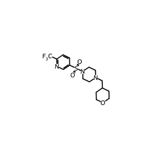 O=S(=O)(c1ccc(C(F)(F)F)nc1)N1CCN(CC2CCOCC2)CC1